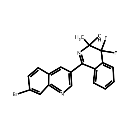 CC1(C)N=C(c2cnc3cc(Br)ccc3c2)c2ccccc2C1(F)F